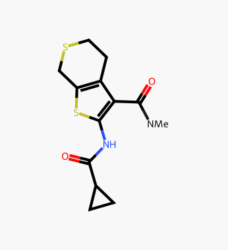 CNC(=O)c1c(NC(=O)C2CC2)sc2c1CCSC2